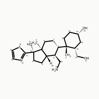 C[C@@]1([C@H]2CC[C@@]3(C)[C@@H](CC[C@@]3(O)c3nccs3)[C@@H]2CN)CC[C@H](O)C[C@@H]1CO